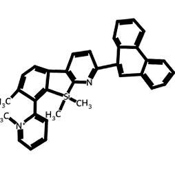 Cc1ccc2c(c1-c1cccc[n+]1C)[Si](C)(C)c1nc(-c3cc4ccccc4c4ccccc34)ccc1-2